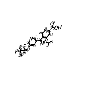 CC(C)n1nc(-c2cncc(OC(F)(F)C(F)(F)Br)c2)c2c1C[C@H](C(=O)O)CC2